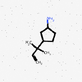 C=CC(C)(C)C1CCC(N)C1